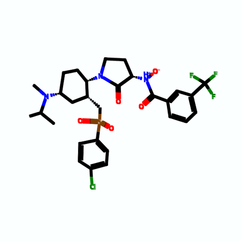 CC(C)N(C)[C@@H]1CC[C@H](N2CC[C@H]([NH+]([O-])C(=O)c3cccc(C(F)(F)F)c3)C2=O)[C@H](CS(=O)(=O)c2ccc(Cl)cc2)C1